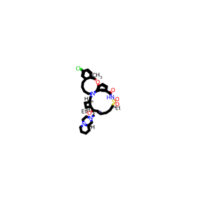 CCO[C@]1(CN2CCN3CCCC[C@@H]3C2)/C=C/CC[C@@H](CC)S(=O)(=O)NC(=O)c2ccc3c(c2)N(CCCCC2C=C(Cl)C=CC2(C)CO3)C[C@@H]2CC[C@H]21